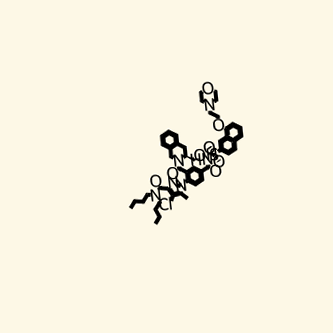 CCCCN(CCCC)C(=O)c1nn(-c2ccc(C(=O)NS(=O)(=O)c3ccc4cccc(OCCN5CCOCC5)c4c3)cc2C(=O)N2Cc3ccccc3C[C@H]2CO)c(C)c1Cl